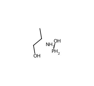 CCCO.N.OP